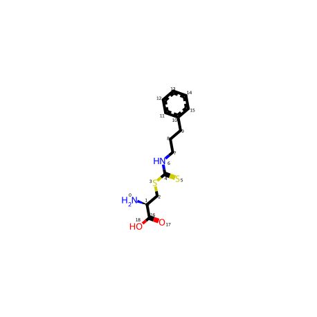 N[C@@H](CSC(=S)NCCCc1ccccc1)C(=O)O